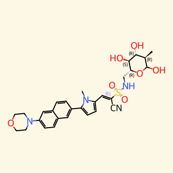 C[C@H]1C(O)O[C@H](CNS(=O)(=O)/C(C#N)=C/c2ccc(-c3ccc4cc(N5CCOCC5)ccc4c3)n2C)[C@@H](O)[C@@H]1O